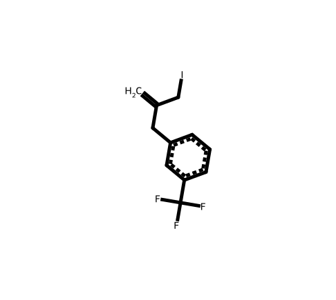 C=C(CI)Cc1cccc(C(F)(F)F)c1